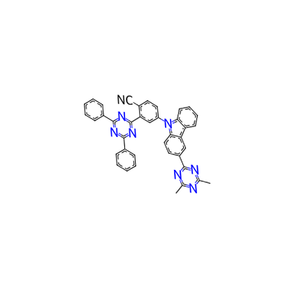 Cc1nc(C)nc(-c2ccc3c(c2)c2ccccc2n3-c2ccc(C#N)c(-c3nc(-c4ccccc4)nc(-c4ccccc4)n3)c2)n1